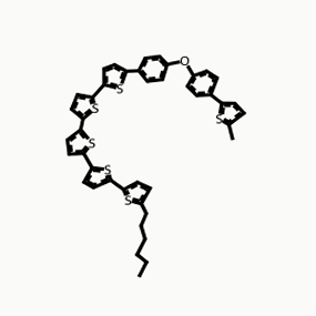 CCCCCCc1ccc(-c2ccc(-c3ccc(-c4ccc(-c5ccc(-c6ccc(Oc7ccc(-c8ccc(C)s8)cc7)cc6)s5)s4)s3)s2)s1